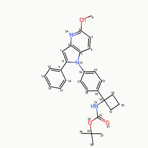 COc1ccc2c(cc(-c3ccccc3)n2-c2ccc(C3(NC(=O)OC(C)(C)C)CCC3)cc2)n1